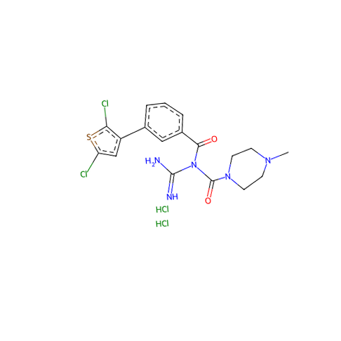 CN1CCN(C(=O)N(C(=N)N)C(=O)c2cccc(-c3cc(Cl)sc3Cl)c2)CC1.Cl.Cl